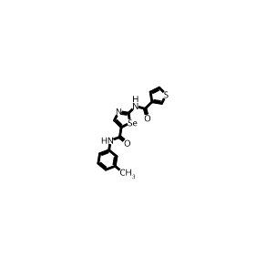 Cc1cccc(NC(=O)c2cnc(NC(=O)c3ccsc3)[se]2)c1